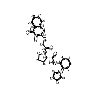 O=C(Nc1ccccc1-n1cccc1)[C@@H]1CCCN1C(=O)CSc1nc2ccccc2c(=O)[nH]1